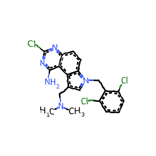 CN(C)Cc1cn(Cc2c(Cl)cccc2Cl)c2ccc3nc(Cl)nc(N)c3c12